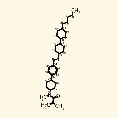 C=C(C)C(=O)N(C)C1CCC(c2ccc(CCC3CCC(C4CCC(CCCCC)CC4)CC3)cc2)CC1